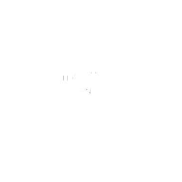 CC(=O)NC1C=CCCC1